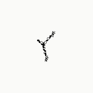 C=CCOCC(C)(COCCOCCN=[N+]=[N-])COCCOCCN=[N+]=[N-]